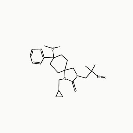 CC(=O)NC(C)(C)CN1CC2(CCC(c3ccccc3)(N(C)C)CC2)N(CC2CC2)C1=O